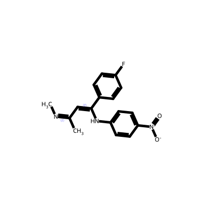 C/N=C(C)\C=C(/Nc1ccc([N+](=O)[O-])cc1)c1ccc(F)cc1